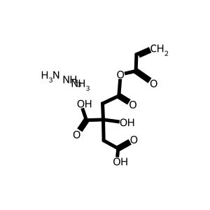 C=CC(=O)OC(=O)CC(O)(CC(=O)O)C(=O)O.N.N.N